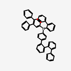 c1ccc(-c2ccc(N(c3ccc(-c4ccccc4-c4ccccc4-c4ccccc4)cc3)c3ccccc3-c3ccccc3)cc2-c2ccccc2)cc1